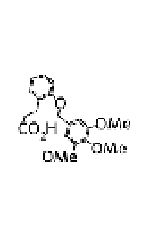 COc1cc(COc2ccccc2CCC(=O)O)cc(OC)c1OC